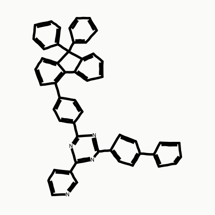 c1ccc(-c2ccc(-c3nc(-c4ccc(-c5cccc6c5-c5ccccc5C6(c5ccccc5)c5ccccc5)cc4)nc(-c4cccnc4)n3)cc2)cc1